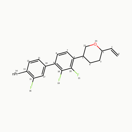 C=CC1CCC(c2ccc(-c3ccc(CCC)c(F)c3)c(F)c2F)CO1